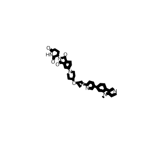 Cn1c2ccncc2c2ccc(-c3ccc(N4CC(OC5CCN(c6ccc7c(c6)C(=O)N(C6CCC(=O)NC6=O)C7=O)CC5)C4)nc3)cc21